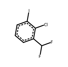 FC(F)c1cccc(I)c1Cl